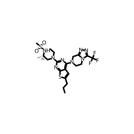 CCCc1cc2c(N3CCn4c(nnc4C(F)(F)F)C3)nc(N(CC)C[C@H](C)NS(C)(=O)=O)nc2s1